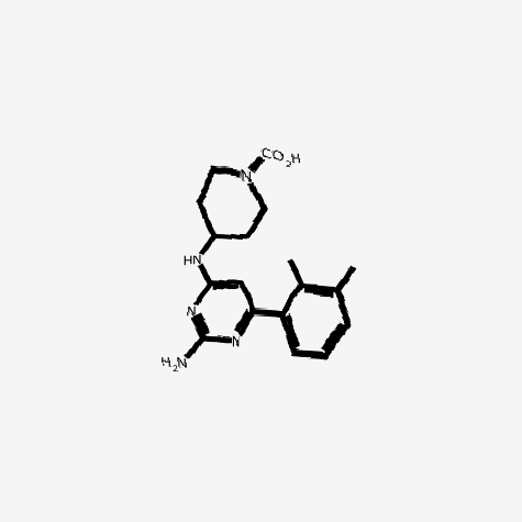 Cc1cccc(-c2cc(NC3CCN(C(=O)O)CC3)nc(N)n2)c1C